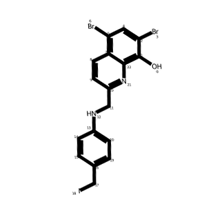 Oc1c(Br)cc(Br)c2ccc(CNc3ccc(CI)cc3)nc12